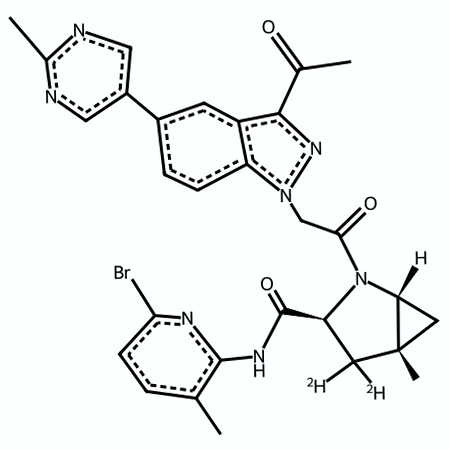 [2H]C1([2H])[C@@H](C(=O)Nc2nc(Br)ccc2C)N(C(=O)Cn2nc(C(C)=O)c3cc(-c4cnc(C)nc4)ccc32)[C@@H]2C[C@@]21C